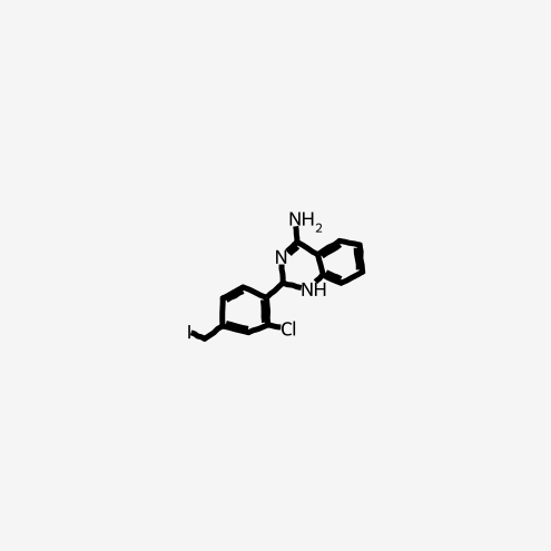 NC1=NC(c2ccc(CI)cc2Cl)Nc2ccccc21